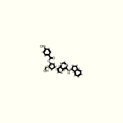 O=Nc1ccc(C(=O)O[C@H]2C[C@H](c3csc4c(N[C@H]5CCc6ccccc65)ncnc34)C[C@H]2CO)cc1